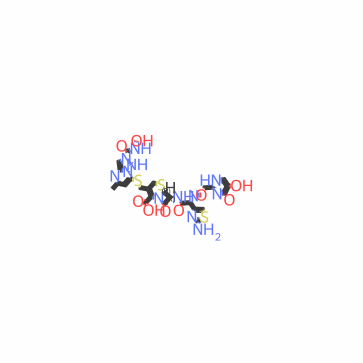 CC1=NC2=CN(C(=O)NO)NN2C(SCC2=C(C(=O)O)N3C(=O)[C@@H](NC(=O)C(=NOCc4nc(=O)c(O)c[nH]4)c4csc(N)n4)[C@H]3SC2)=C1